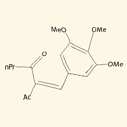 CCCC(=O)C(=Cc1cc(OC)c(OC)c(OC)c1)C(C)=O